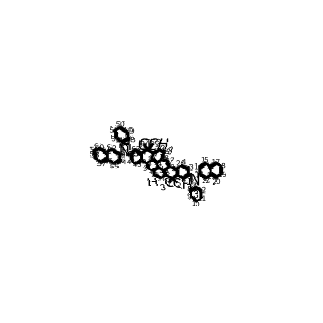 CC1(C)c2cc(N(c3ccccc3)c3ccc4ccccc4c3)ccc2-c2cc3ccc4c5c(cc6ccc1c2c6c35)-c1ccc(N(c2ccccc2)c2ccc3ccccc3c2)cc1C4(C)C